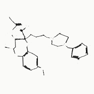 COc1ccc2c(c1)SC(CCCN1CCN(c3ccccc3)CC1)(C(=O)O)[C@H](OC(C)=O)[C@H](C)O2